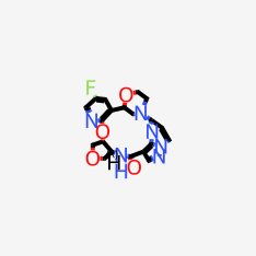 O=C1N[C@@H]2COCC2Oc2ncc(F)cc2C2CN(CCO2)c2ccn3ncc1c3n2